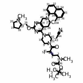 CN(C/C=C(/F)C(=O)N1CCN(c2nc(OC[C@@H]3CCCN3C)nc3c2CCN(c2cccc4cccc(Cl)c24)C3)C[C@@H]1CC#N)C(=O)OC(C)(C)C